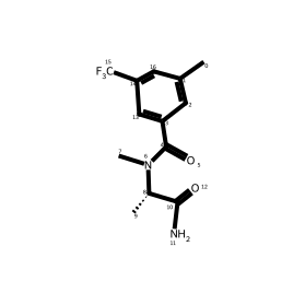 Cc1cc(C(=O)N(C)[C@@H](C)C(N)=O)cc(C(F)(F)F)c1